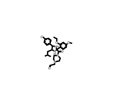 CCOc1cc(OC)ccc1C1(C(=O)N2CCN(CC=O)CC2)NC(CC(C)C)C(c2ccc(Cl)cc2)N1